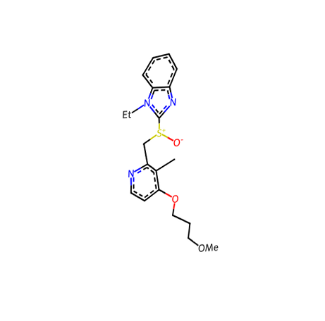 CCn1c([S+]([O-])Cc2nccc(OCCCOC)c2C)nc2ccccc21